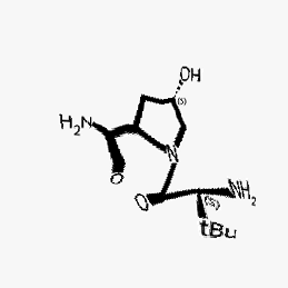 CC(C)(C)[C@H](N)C(=O)N1C[C@@H](O)CC1C(N)=O